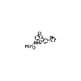 O=C(O)CNc1ccc(Cl)cc1Oc1ccc(-c2ccccn2)cc1Cl